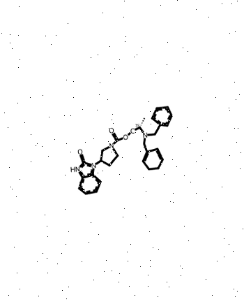 C[C@@H](COC(=O)N1CCC(n2c(=O)[nH]c3ccccc32)C1)N(CC1=CCCC=C1)Cc1ccccc1